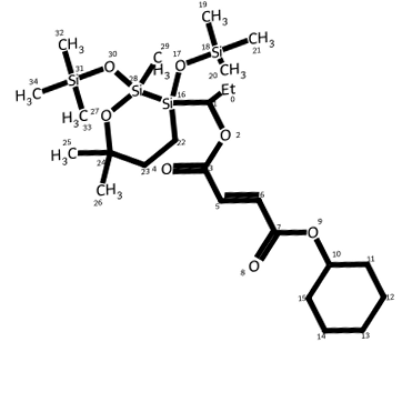 CCC(OC(=O)C=CC(=O)OC1CCCCC1)[Si]1(O[Si](C)(C)C)CCC(C)(C)O[Si]1(C)O[Si](C)(C)C